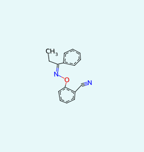 CCC(=NOc1ccccc1C#N)c1ccccc1